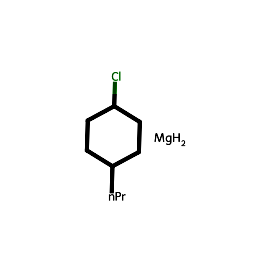 CCCC1CCC(Cl)CC1.[MgH2]